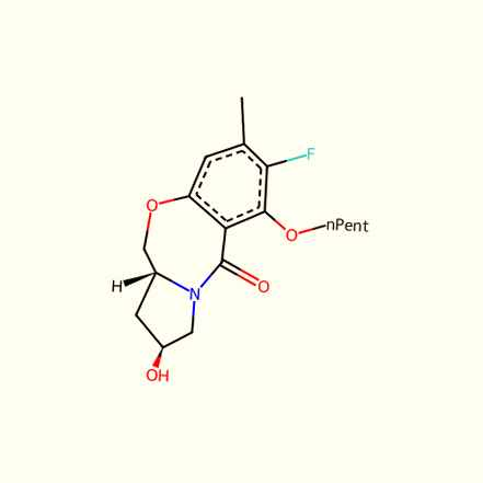 CCCCCOc1c(F)c(C)cc2c1C(=O)N1C[C@@H](O)C[C@@H]1CO2